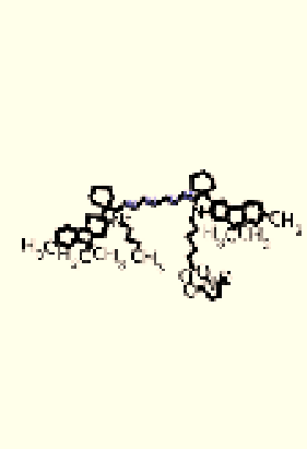 CCCC[N+]1=C(/C=C/C=C/C=C/C=C2\N(CCCCCC(=O)ON3C(=O)CCC3=O)c3cc4c(cc3C23CCCCC3)-c2ccc(C)cc2C4(C)C)C2(CCCCC2)c2cc3c(cc21)C(C)(C)c1cc(C)ccc1-3